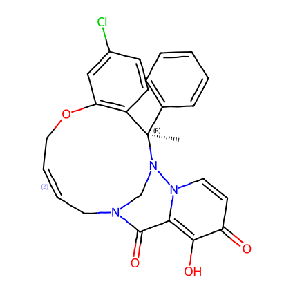 C[C@@]1(c2ccccc2)c2ccc(Cl)cc2OC/C=C\CN2CN1n1ccc(=O)c(O)c1C2=O